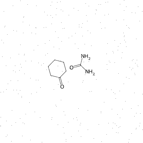 NC(N)=O.O=C1CCCCC1